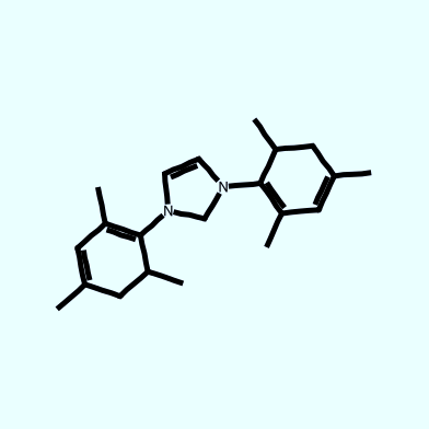 CC1=CC(C)=C(N2C=CN(C3=C(C)C=C(C)CC3C)C2)C(C)C1